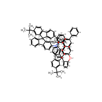 CC(C)(C)c1ccc2c(c1)C1(c3ccccc3Oc3ccc(-c4ccccc4N(c4ccc5c(c4)C4(c6ccccc6-5)c5cc(C(C)(C)C)ccc5-c5ccc(C(C)(C)C)cc54)c4ccccc4-c4ccc(-c5ccccc5)cc4)cc31)c1cc(C(C)(C)C)ccc1-2